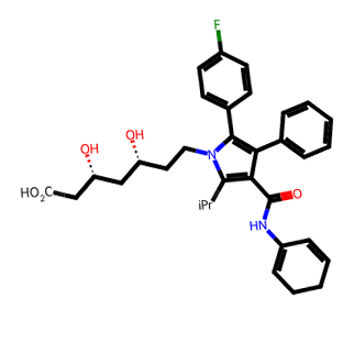 CC(C)c1c(C(=O)NC2=CCCC=C2)c(-c2ccccc2)c(-c2ccc(F)cc2)n1CC[C@@H](O)C[C@@H](O)CC(=O)O